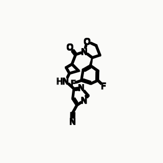 N#Cc1cc(NC2CC(C(=O)N3OCC[C@H]3c3cc(F)cc(F)c3)C2)ncn1